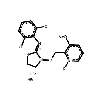 Br.Br.COc1ccc[n+]([O-])c1CON1CCN/C1=N\c1c(Cl)cccc1Cl